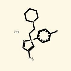 Cl.NC1=C[N+](CCN2CCCCC2)(c2ccc(F)cc2)N=N1